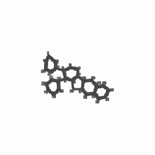 c1ccc(-c2ccc3c(c2-c2ccccc2)Cc2cc4ccccc4cc2-3)cc1